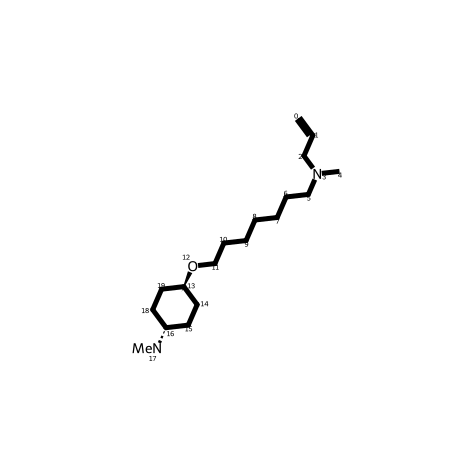 C=CCN(C)CCCCCCCO[C@H]1CC[C@H](NC)CC1